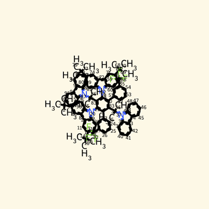 CC(C)(C)c1ccc2c(c1)c1cc(C(C)(C)C)ccc1n2-c1c(-c2cccc(C(F)(F)F)c2)c(C(C)(C)n2c3ccccc3c3ccccc32)c(-c2cccc(C(F)(F)F)c2)c(-n2c3ccc(C(C)(C)C)cc3c3cc(C(C)(C)C)ccc32)c1C(C)(C)n1c2ccccc2c2ccccc21